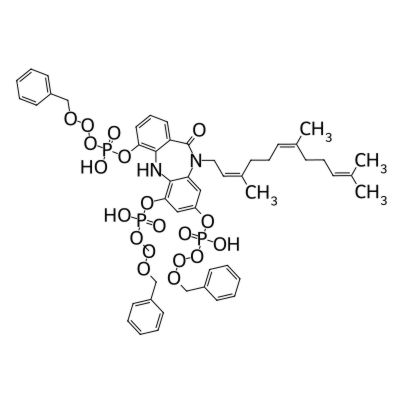 CC(C)=CCCC(C)=CCCC(C)=CCN1C(=O)c2cccc(OP(=O)(O)OOOCc3ccccc3)c2Nc2c(OP(=O)(O)OOOCc3ccccc3)cc(OP(=O)(O)OOOCc3ccccc3)cc21